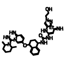 CCC(=N)/C=C(/NC(=O)NC1CCC(Oc2ccc(=N)n(C(=N)N3C(C)CCCC3C)c2)c2ccccc21)Nc1cnn(CCO)c1